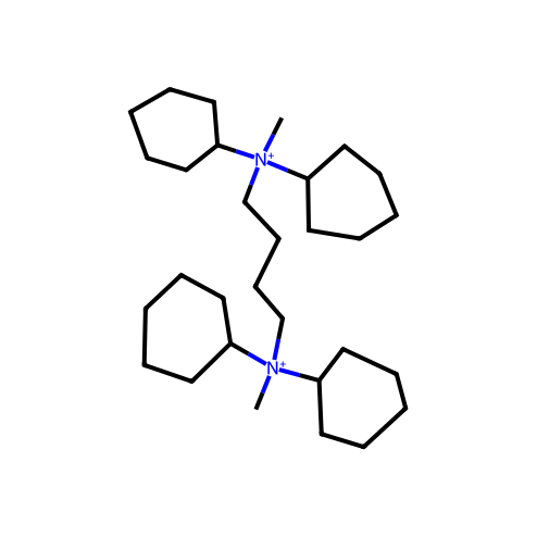 C[N+](CCCC[N+](C)(C1CCCCC1)C1CCCCC1)(C1CCCCC1)C1CCCCC1